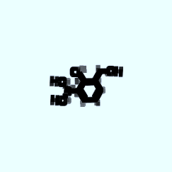 OCc1cccc(B(O)O)c1Cl